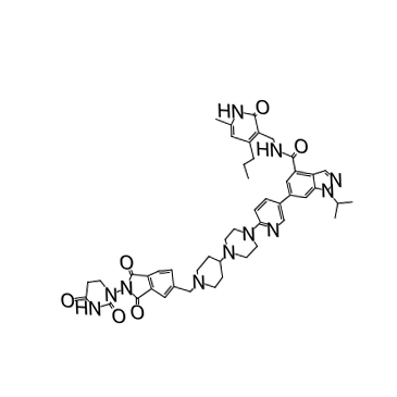 CCCc1cc(C)[nH]c(=O)c1CNC(=O)c1cc(-c2ccc(N3CCN(C4CCN(Cc5ccc6c(c5)C(=O)N(N5CCC(=O)NC5=O)C6=O)CC4)CC3)nc2)cc2c1cnn2C(C)C